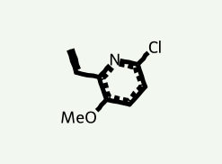 C=Cc1nc(Cl)ccc1OC